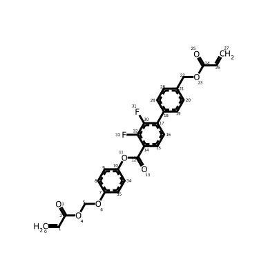 C=CC(=O)OCOc1ccc(OC(=O)c2ccc(-c3ccc(COC(=O)C=C)cc3)c(F)c2F)cc1